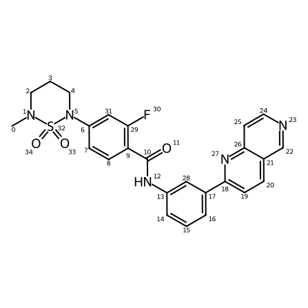 CN1CCCN(c2ccc(C(=O)Nc3cccc(-c4ccc5cnccc5n4)c3)c(F)c2)S1(=O)=O